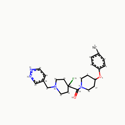 N#Cc1ccc(OC2CCN(C(=O)C3(F)CCN(Cc4ccnnc4)CC3)CC2)cc1